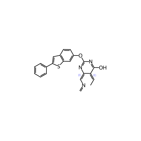 C=N/C=c1/nc(Oc2ccc3cc(-c4ccccc4)sc3c2)nc(O)/c1=C/C